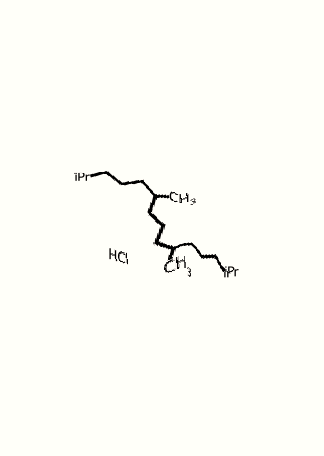 CC(C)CCCC(C)CCCC(C)CCCC(C)C.Cl